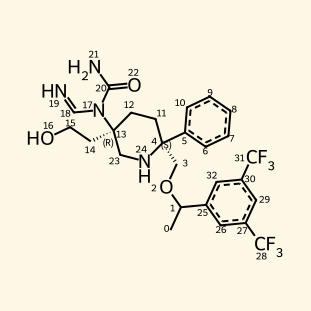 CC(OC[C@@]1(c2ccccc2)CC[C@](CCO)(N(C=N)C(N)=O)CN1)c1cc(C(F)(F)F)cc(C(F)(F)F)c1